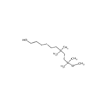 CO[Si](C)(C)CC[Si](C)(C)CCCCCCO